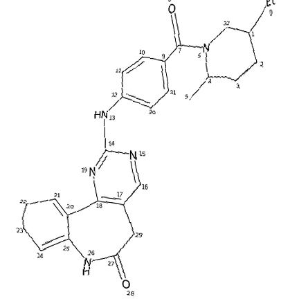 CCC1CCC(C)N(C(=O)c2ccc(Nc3ncc4c(n3)C3=CCCC=C3NC(=O)C4)cc2)C1